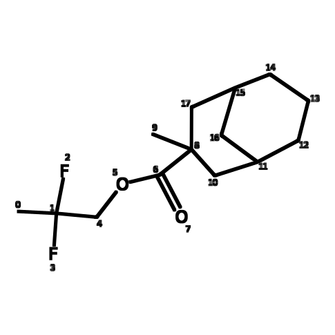 CC(F)(F)COC(=O)C1(C)CC2CCCC(C2)C1